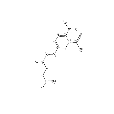 CC(=N)CCC(C)SSC1=CC=C([N+](=O)[O-])C(C(=O)O)C1